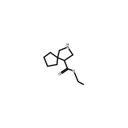 CCOC(=O)C1CNCC12CCCC2